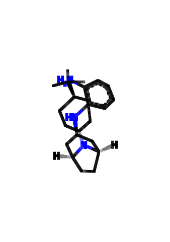 CC(C)(C)[C@H]1CC[C@H](N2[C@@H]3CC[C@H]2C[C@@H](Nc2ccccc2N)C3)CC1